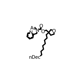 CCCCCCCCCCCCCCCCCCC1(COC(=O)N(Cc2ccccn2)C(C)=O)CCOC1